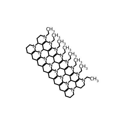 CCN1CCC2C3=C1N(CC)C1=C4C3N3C5=C(CCCN52)CC2=C3N3C5=C(C2)CC2=C6N5C5C(=C(N1CC)N(CC)C1=C5C5C7=C(N(CC)C8=C9C%10C%11=C(N(CC)CCC%11N%11CCCC%12=C%11N%10C%10=C(C%12)CC(=C(N%10C97)N65)C2)N8CC)N1CC)C43